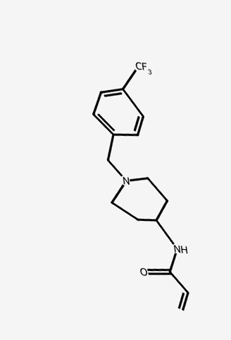 C=CC(=O)NC1CCN(Cc2ccc(C(F)(F)F)cc2)CC1